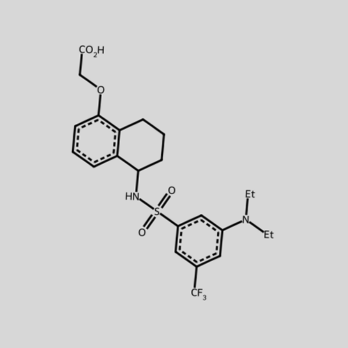 CCN(CC)c1cc(C(F)(F)F)cc(S(=O)(=O)NC2CCCc3c(OCC(=O)O)cccc32)c1